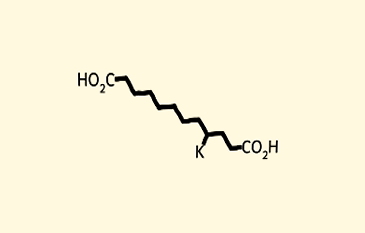 O=C(O)CCCCCCC[CH]([K])CCC(=O)O